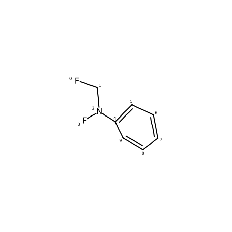 FCN(F)c1ccccc1